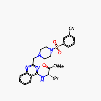 COC(=O)[C@@H](Nc1nc(CN2CCN(S(=O)(=O)c3cccc(C#N)c3)CC2)nc2ccccc12)C(C)C